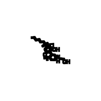 CCCCCCC(C)(C)c1cc(O)c2c(c1)OC(C)(C)C1CCC(NCCO)CC21.Cl